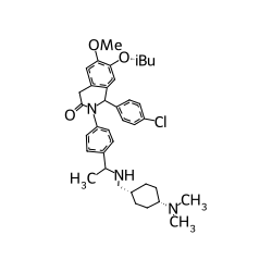 CC[C@@H](C)Oc1cc2c(cc1OC)CC(=O)N(c1ccc(C(C)NC[C@H]3CC[C@@H](N(C)C)CC3)cc1)C2c1ccc(Cl)cc1